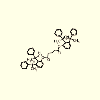 CC(C)(c1ccccc1)c1cccc(OC(=O)CCCC(=O)Oc2cccc(C(C)(C)c3ccccc3)c2C(C)(C)c2ccccc2)c1C(C)(C)c1ccccc1